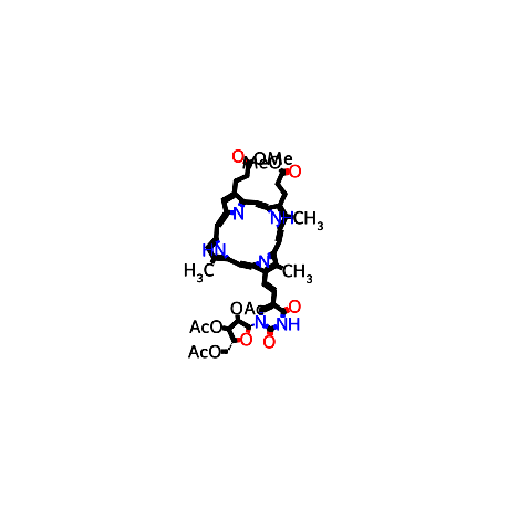 COC(=O)CCC1=Cc2cc3cc(C)c(cc4nc(cc5[nH]c(cc1n2)c(CCC(=O)OC)c5C)C(C)=C4/C=C/c1cn([C@@H]2O[C@H](COC(C)=O)C(OC(C)=O)C2OC(C)=O)c(=O)[nH]c1=O)[nH]3